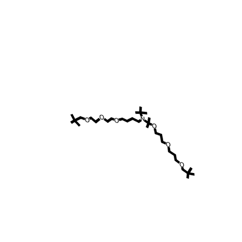 CC(C)(C)COCCCOCCCOC(C)(C)N(CCCCOCCOCCOCC(C)(C)C)C(C)(C)C